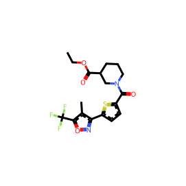 CCOC(=O)C1CCCN(C(=O)c2ccc(-c3noc(C(F)(F)F)c3C)s2)C1